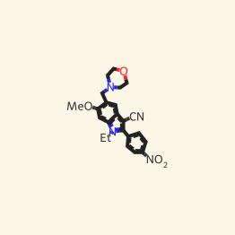 CCn1c(-c2ccc([N+](=O)[O-])cc2)c(C#N)c2cc(CN3CCOCC3)c(OC)cc21